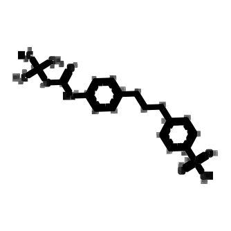 CC(C)(C)OC(=O)Nc1ccc(CCCc2ccc(S(=O)(=O)O)cc2)cc1